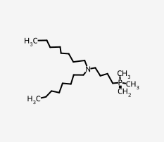 C=P(C)(C)CCCCN(CCCCCCCC)CCCCCCCC